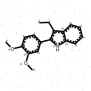 [CH2]Cc1c(-c2ccc(OC)c(OC)c2)[nH]c2ccccc12